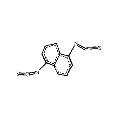 S=C=Nc1cccc2c(N=C=S)cccc12